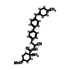 COC1CCC(N)(C(=O)N[C@H](C#N)Cc2ccc(-c3ccc(CN4CCN(C)CC4)cc3)cc2)CC1